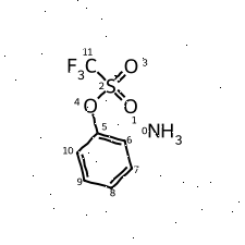 N.O=S(=O)(Oc1ccccc1)C(F)(F)F